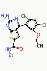 CCNC(=O)c1cc2c(-c3cc(OCC#N)c(Cl)cc3Cl)nc(N)nc2s1